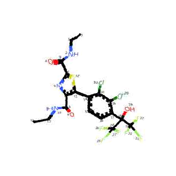 CCNC(=O)c1nc(C(=O)NCC)c(-c2ccc(C(O)(C(F)(F)F)C(F)(F)F)c(Cl)c2Cl)s1